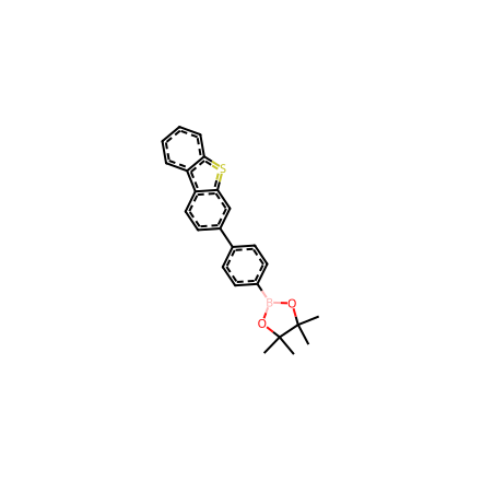 CC1(C)OB(c2ccc(-c3ccc4c(c3)sc3ccccc34)cc2)OC1(C)C